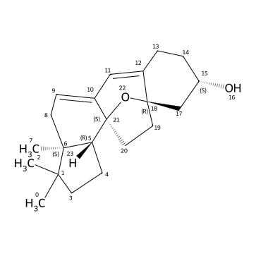 CC1(C)CC[C@@H]2[C@]1(C)CC=C1C=C3CC[C@H](O)C[C@]34CC[C@@]12O4